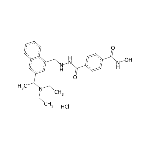 CCN(CC)C(C)c1cc(CNNC(=O)c2ccc(C(=O)NO)cc2)c2ccccc2c1.Cl